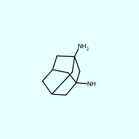 [NH]C12CC3CC(C1)CC(N)(C3)C2